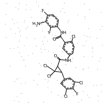 Nc1c(F)ccc(NC(=O)c2cc(NC(=O)C3C(c4cc(Cl)c(F)c(Cl)c4)C3(Cl)Cl)ccc2Cl)c1F